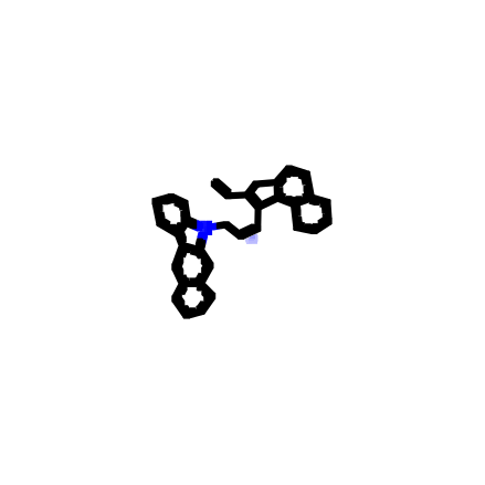 C=CC1=C(/C=C\Cn2c3ccccc3c3cc4ccccc4cc32)c2c(ccc3ccccc23)C1